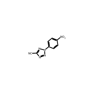 N#Cc1nnn(-c2ccc([N+](=O)[O-])cc2)n1